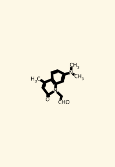 Cc1cc(=O)n(CC=O)c2cc(N(C)C)ccc12